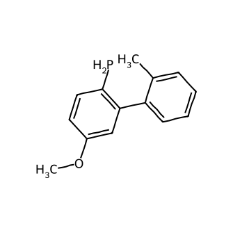 COc1ccc(P)c(-c2ccccc2C)c1